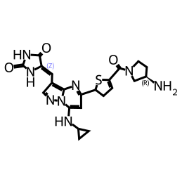 N[C@@H]1CCN(C(=O)C2=CCC(c3cc(NC4CC4)n4ncc(/C=C5\NC(=O)NC5=O)c4n3)S2)C1